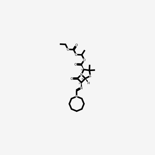 CCOC(=O)OC(C)OC(=O)[C@@H]1N2C(=O)[C@H](N=CN3CCCCCCC3)[C@H]2SC1(C)C